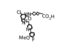 COc1cc(-c2ccc(Cn3ncc4cc(Cl)cc(C(=O)NC5CC6(CC(CC(=O)O)C6)C5)c43)cn2)ccc1F